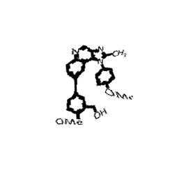 COc1ccc(-n2c(C)nc3cnc4ccc(-c5ccc(OC)c(CO)c5)cc4c32)cc1